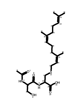 CC(=O)NC(CO)C(=O)NC(CSCC=C(C)CCC=C(C)CCC=C(C)C)C(=O)O